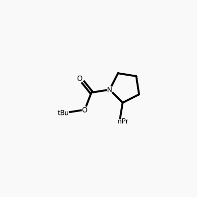 CCCC1CCCN1C(=O)OC(C)(C)C